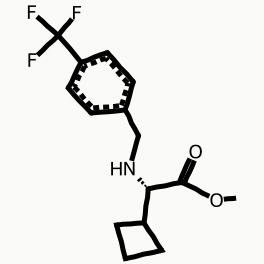 COC(=O)[C@@H](NCc1ccc(C(F)(F)F)cc1)C1CCC1